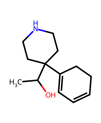 CC(O)C1(C2=CC=CCC2)CCNCC1